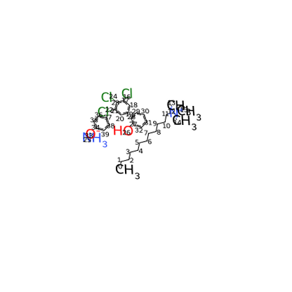 CCCCCCCCCCCC[N+](C)(C)C.Clc1cccc(Cl)c1Cl.N.Oc1ccccc1.[O-]c1ccccc1